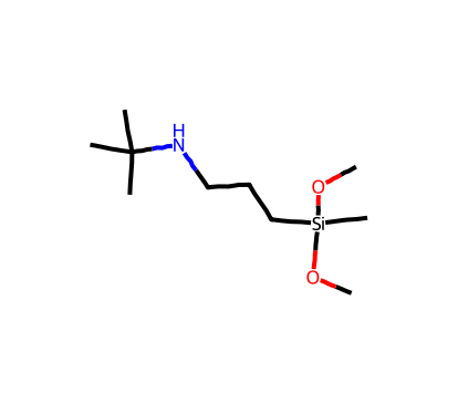 CO[Si](C)(CCCNC(C)(C)C)OC